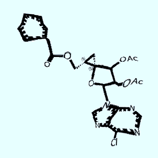 CC(=O)OC1C(n2cnc3c(Cl)ncnc32)O[C@]2(C[C@H]2COC(=O)c2ccccc2)C1OC(C)=O